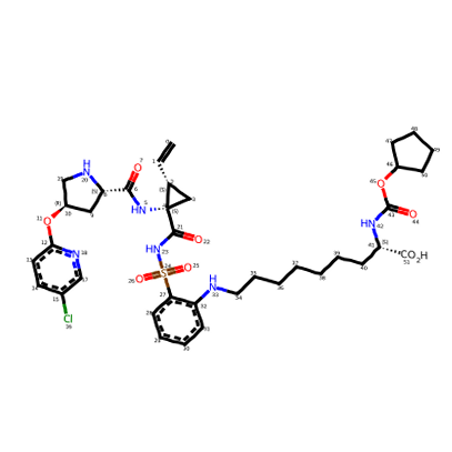 C=C[C@@H]1C[C@@]1(NC(=O)[C@@H]1C[C@@H](Oc2ccc(Cl)cn2)CN1)C(=O)NS(=O)(=O)c1ccccc1NCCCCCCC[C@H](NC(=O)OC1CCCC1)C(=O)O